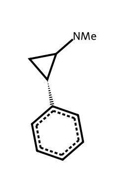 CNC1C[C@H]1c1ccccc1